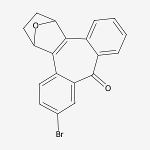 O=c1c2ccccc2c2c(c3ccc(Br)cc13)C1CCC2O1